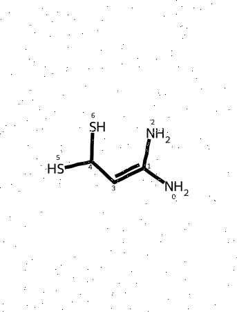 NC(N)=CC(S)S